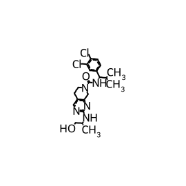 CC(C)[C@@H](NC(=O)N1CCc2cnc(N[C@@H](C)CO)nc2C1)c1ccc(Cl)c(Cl)c1